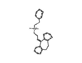 C[N+](C)(CCC=C1c2ccccc2CCc2ccccc21)CCc1ccccc1